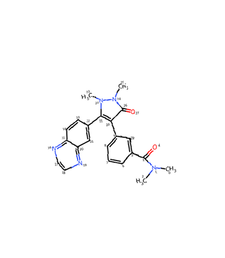 CN(C)C(=O)c1cccc(-c2c(-c3ccc4nccnc4c3)n(C)n(C)c2=O)c1